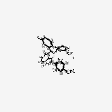 Cc1ccc(-n2cnc(C(F)(F)F)n2)c(C(=O)N2CCC[C@@H](C)C2CNc2ccc(C#N)cn2)c1